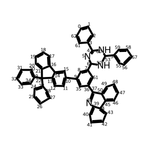 c1ccc(C2=NC(c3cc(-c4ccc5c(c4)-c4ccccc4C5(c4ccccc4)c4ccccc4)cc(-c4nc5ccccc5c5ccccc45)c3)NC(c3ccccc3)N2)cc1